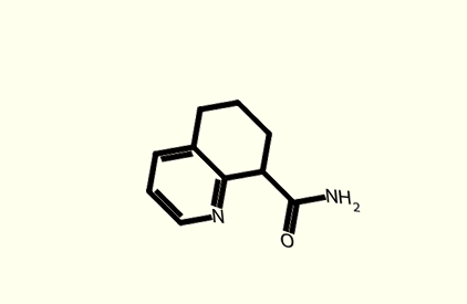 NC(=O)C1CCCc2cccnc21